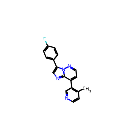 Cc1ccncc1-c1ccnn2c(-c3ccc(F)cc3)cnc12